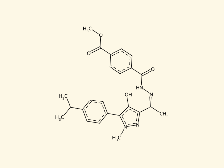 COC(=O)c1ccc(C(=O)N/N=C(/C)c2nn(C)c(-c3ccc(C(C)C)cc3)c2O)cc1